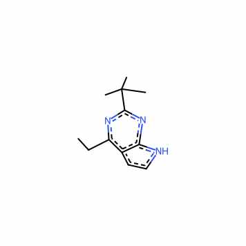 CCc1nc(C(C)(C)C)nc2[nH]ccc12